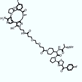 CN[C@H](C)C(=O)N[C@@H](C(=O)N1CCC[C@@H]1C1=NC(C(=O)c2ccc(F)cc2)CS1)C1CCN(C(=O)CCOCCOCCC(=O)NCCn2nc3c(c2C#N)-c2cnc(N)c(c2)N2CCC[C@@H]2c2cc(F)ccc2C(=O)N(C)C3)CC1